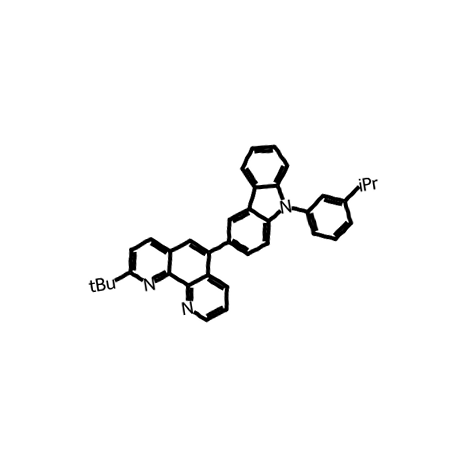 CC(C)c1cccc(-n2c3ccccc3c3cc(-c4cc5ccc(C(C)(C)C)nc5c5ncccc45)ccc32)c1